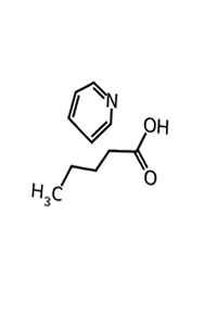 CCCCC(=O)O.c1ccncc1